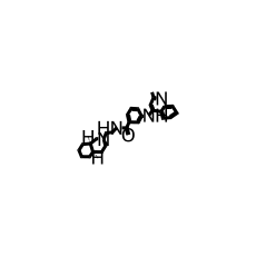 Cc1cc(Nc2cccc(C(=O)NCCN3CC[C@H]4CCCC[C@H]4C3)c2)c2ccccc2n1